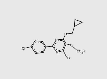 CC(C)c1nc(-c2ccc(Cl)cc2)nc(OCC2CC2)c1OC(=O)O